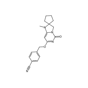 CN1c2cc(OCc3ccc(C#N)cc3)nc(=O)n2CC12CCCC2